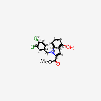 COC(=O)c1cc2c(O)cccc2n1Cc1ccc(Cl)c(Cl)c1